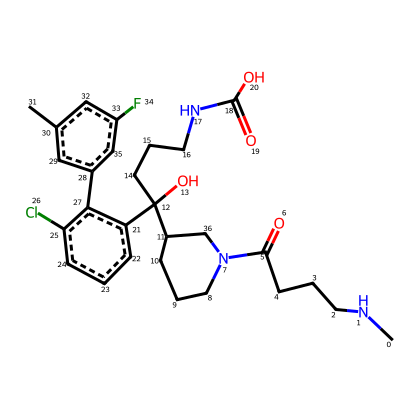 CNCCCC(=O)N1CCCC(C(O)(CCCNC(=O)O)c2cccc(Cl)c2-c2cc(C)cc(F)c2)C1